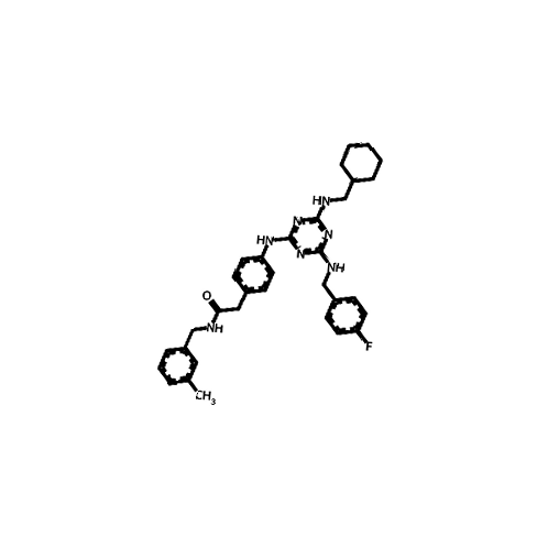 Cc1cccc(CNC(=O)Cc2ccc(Nc3nc(NCc4ccc(F)cc4)nc(NCC4CCCCC4)n3)cc2)c1